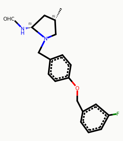 C[C@H]1C[C@@H](NC=O)N(Cc2ccc(OCc3cccc(F)c3)cc2)C1